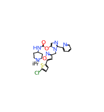 CC(C)N1CCC(NC(=O)Oc2cnc(-c3ccccn3)n2Cc2cc(-c3ccc(Cl)s3)on2)CC1